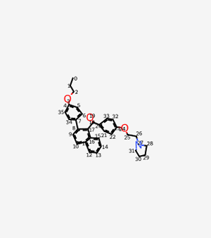 CCCOc1ccc(-c2ccc3ccccc3c2C(=O)c2ccc(OCCN3CCCC3)cc2)cc1